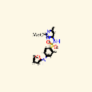 COc1nc(C)cc(NS(=O)(=O)c2ccc(Nc3ccco3)cc2)n1